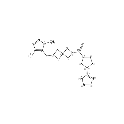 Cn1ncc(C(F)(F)F)c1CC1CC2(C1)CN(C(=O)N1CC[C@H](c3ncn[nH]3)C1)C2